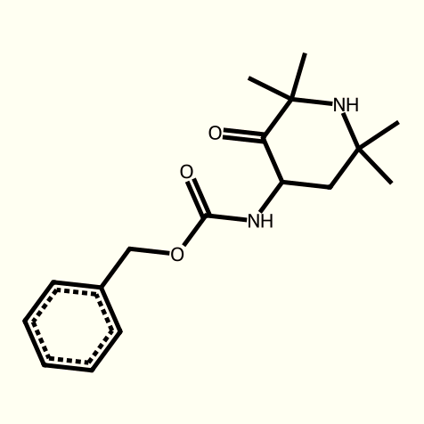 CC1(C)CC(NC(=O)OCc2ccccc2)C(=O)C(C)(C)N1